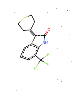 O=C1Nc2c(cccc2C(F)(F)F)C1=C1CCSCC1